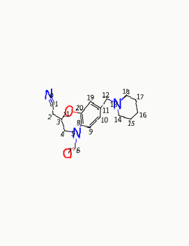 N#CCC1CN(C=O)c2ccc(CN3CCCCC3)cc2O1